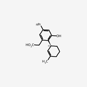 CCCc1cc(O)c([C@@H]2C=C(C)CCC2)c(CC(=O)O)c1